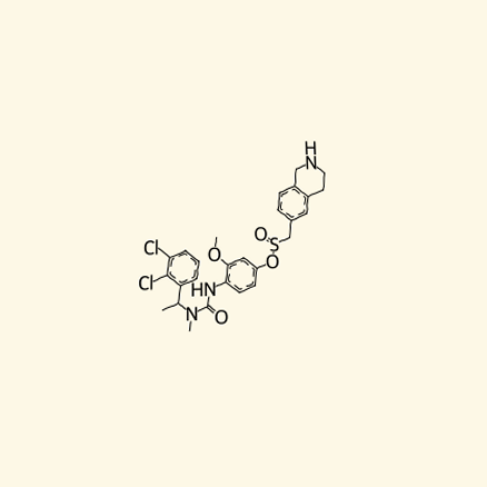 COc1cc(OS(=O)Cc2ccc3c(c2)CCNC3)ccc1NC(=O)N(C)C(C)c1cccc(Cl)c1Cl